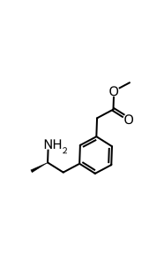 COC(=O)Cc1cccc(C[C@@H](C)N)c1